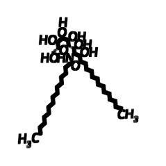 CCCCCCCCCCCCCCCC(=O)N[C@@H](C(O)[C@@H]1O[C@H](CO)[C@H](O)[C@H](O)[C@H]1O)[C@H](O)CCCCCCCCCCCCCCC